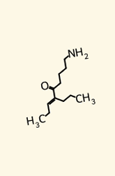 CC/C=C(\CCC)C(=O)CCCCN